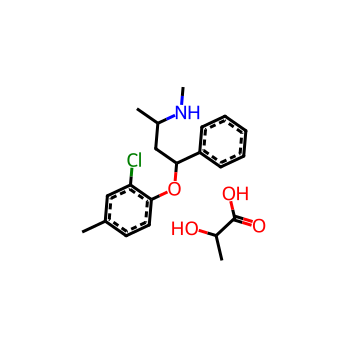 CC(O)C(=O)O.CNC(C)CC(Oc1ccc(C)cc1Cl)c1ccccc1